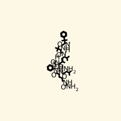 CNC(C(=O)NC(C(=O)N(C)C(C=C(C)C(=O)NS(=O)(=O)c1ccccc1NC(=O)C(CCCNC(N)=O)NC(=O)C(N)C(C)C)C(C)C)C(C)(C)C)C(C)(C)c1ccccc1